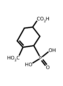 O=C(O)C1=CCC(C(=O)O)CC1P(=O)(O)O